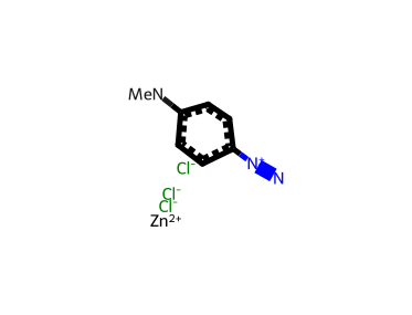 CNc1ccc([N+]#N)cc1.[Cl-].[Cl-].[Cl-].[Zn+2]